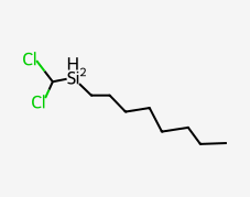 CCCCCCCC[SiH2]C(Cl)Cl